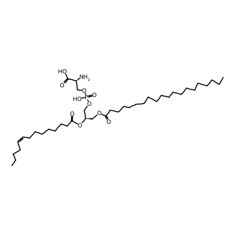 CCCC/C=C\CCCCCCCC(=O)O[C@H](COC(=O)CCCCCCCCCCCCCCCCCCC)COP(=O)(O)OC[C@H](N)C(=O)O